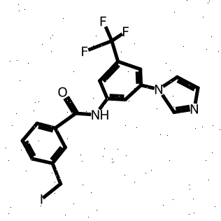 O=C(Nc1cc(-n2ccnc2)cc(C(F)(F)F)c1)c1cccc(CI)c1